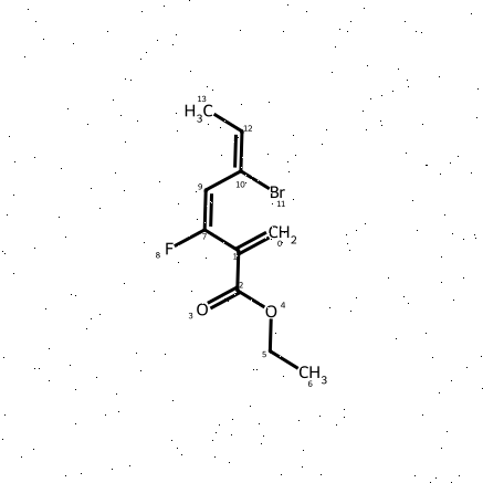 C=C(C(=O)OCC)/C(F)=C\C(Br)=C/C